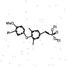 CCOP(=O)(/C=C/c1cc(C)c(Oc2ccc(OC)c(C(C)C)c2)c(C)c1)OCC